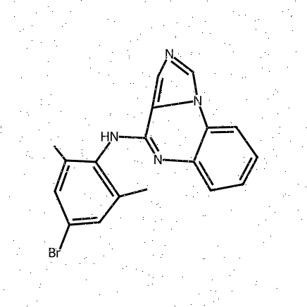 Cc1cc(Br)cc(C)c1Nc1nc2ccccc2n2cncc12